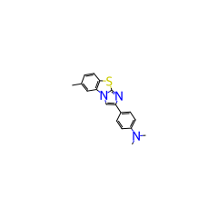 Cc1ccc2sc3nc(-c4ccc(N(C)C)cc4)cn3c2c1